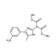 Cc1[nH]c(N(C(=O)OC(C)(C)C)C(=O)OC(C)(C)C)nc1-c1cccc(N)c1